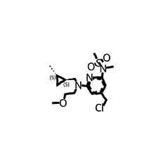 COCCN(C[C@H]1C[C@@H]1C)c1cc(CCl)cc(N(C)S(C)(=O)=O)n1